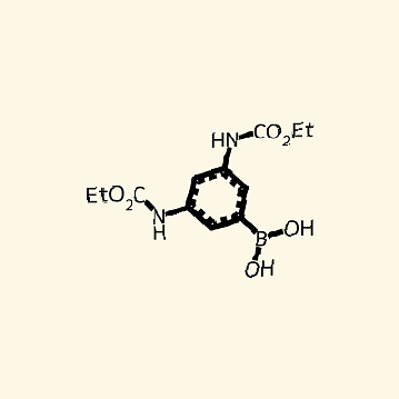 CCOC(=O)Nc1cc(NC(=O)OCC)cc(B(O)O)c1